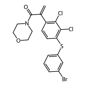 C=C(C(=O)N1CCOCC1)c1ccc(Sc2cccc(Br)c2)c(Cl)c1Cl